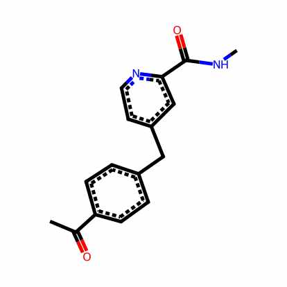 CNC(=O)c1cc(Cc2ccc(C(C)=O)cc2)ccn1